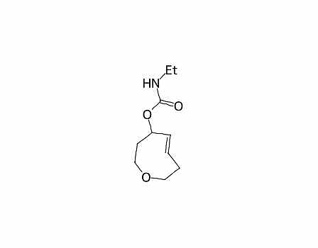 CCNC(=O)OC1/C=C/CCOCC1